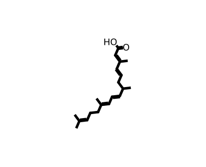 CC(C)=CCC/C(C)=C/C=C/C(C)C/C=C/C(C)=C/C(=O)O